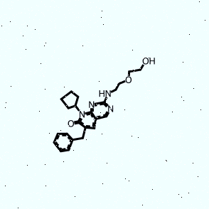 O=c1c(Cc2ccccc2)cc2cnc(NCCOCCO)nc2n1C1CCCC1